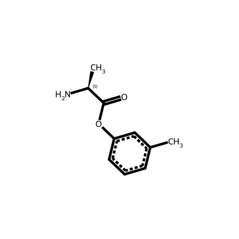 Cc1cccc(OC(=O)[C@H](C)N)c1